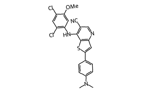 COc1cc(Nc2c(C#N)cnc3cc(-c4ccc(N(C)C)cc4)sc23)c(Cl)cc1Cl